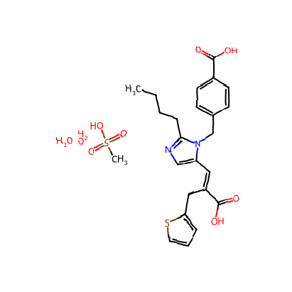 CCCCc1ncc(/C=C(\Cc2cccs2)C(=O)O)n1Cc1ccc(C(=O)O)cc1.CS(=O)(=O)O.O.O